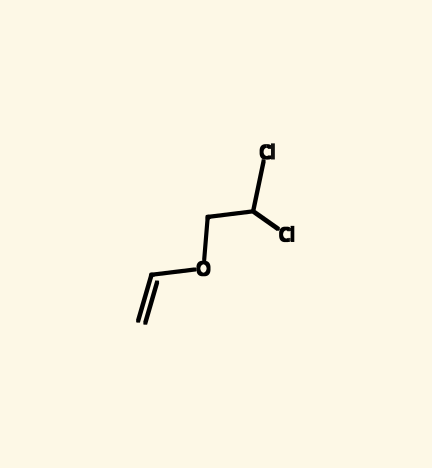 C=COCC(Cl)Cl